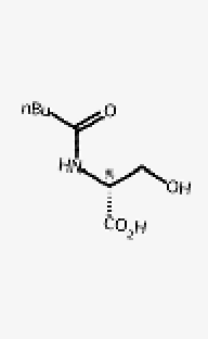 CCCCC(=O)N[C@H](CO)C(=O)O